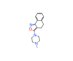 CN1CCN(c2onc3c2CCc2ccccc2-3)CC1